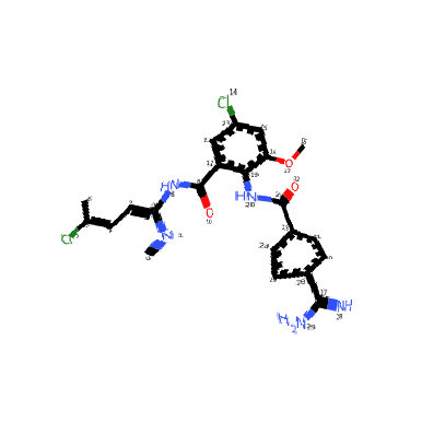 C=N/C(=C\C=C(/C)Cl)NC(=O)c1cc(Cl)cc(OC)c1NC(=O)c1ccc(C(=N)N)cc1